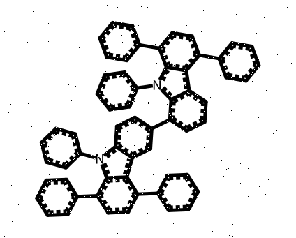 c1ccc(-c2ccc(-c3ccccc3)c3c2c2cc(-c4cccc5c6c(-c7ccccc7)ccc(-c7ccccc7)c6n(-c6ccccc6)c45)ccc2n3-c2ccccc2)cc1